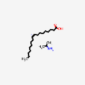 CC(C)N.CCCCCCCC/C=C\CCCCCCCC(=O)O